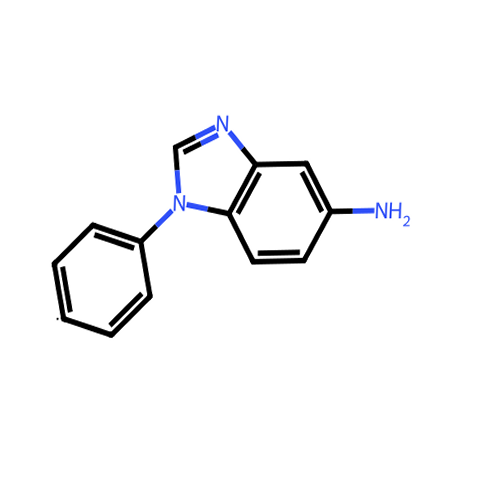 Nc1ccc2c(c1)ncn2-c1cc[c]cc1